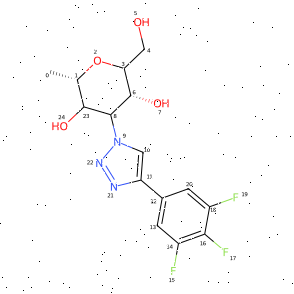 C[C@@H]1OC(CO)[C@H](O)C(n2cc(-c3cc(F)c(F)c(F)c3)nn2)C1O